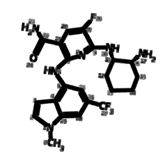 Cn1ccc2c(Nc3nc(N[C@@H]4CCCC[C@@H]4N)c(F)cc3C(N)=O)cc(C(F)(F)F)cc21